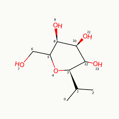 CC(C)[C@H]1OC(CO)[C@@H](O)[C@@H](O)C1O